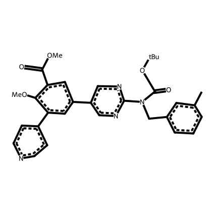 COC(=O)c1cc(-c2cnc(N(Cc3cccc(C)c3)C(=O)OC(C)(C)C)nc2)cc(-c2ccncc2)c1OC